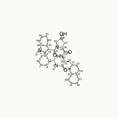 CN(Cc1ccccc1)C(=O)[C@H](Cc1ccc2ccccc2c1)NC(=O)[C@@H]1C[C@@H](O)CN1C(=O)c1cn(C)c2ccccc12